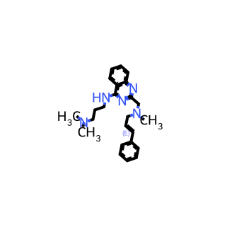 CN(C)CCCNc1nc(CN(C)C/C=C/c2ccccc2)nc2ccccc12